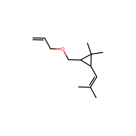 C=CCOCC1C(C=C(C)C)C1(C)C